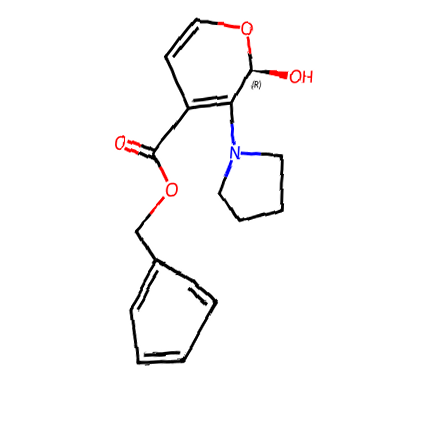 O=C(OCc1ccccc1)C1=C(N2CCCC2)[C@H](O)OC=C1